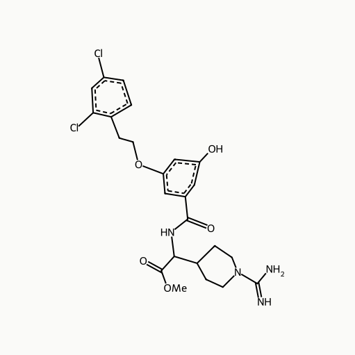 COC(=O)C(NC(=O)c1cc(O)cc(OCCc2ccc(Cl)cc2Cl)c1)C1CCN(C(=N)N)CC1